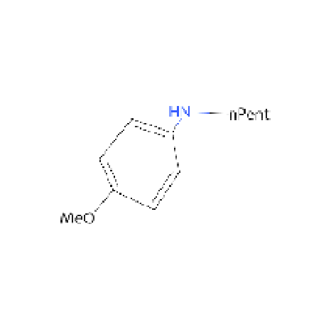 [CH2]CCCCNc1ccc(OC)cc1